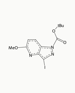 COc1ccc2c(n1)c(I)nn2C(=O)OC(C)(C)C